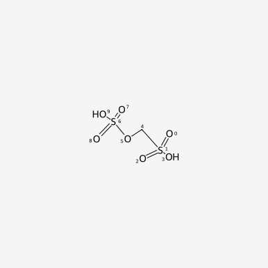 O=S(=O)(O)COS(=O)(=O)O